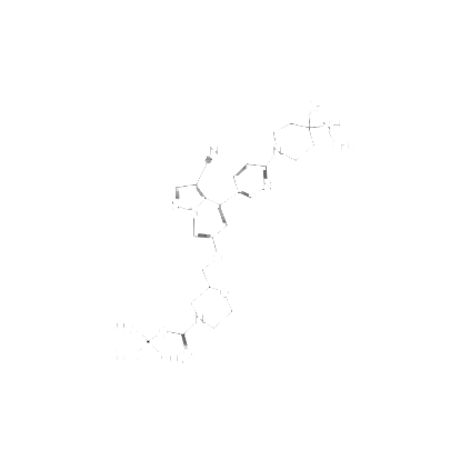 CNC1(C)CCN(c2ccc(-c3cc(OCC4CN(C(=O)OC(C)(C)C)CCO4)cn4ncc(C#N)c34)cn2)CC1